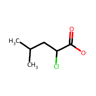 CC(C)CC(Cl)C([O])=O